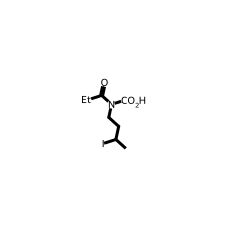 CCC(=O)N(CCC(C)I)C(=O)O